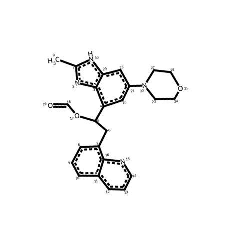 Cc1nc2c(C(Cc3cccc4cccnc34)OC=O)cc(N3CCOCC3)cc2[nH]1